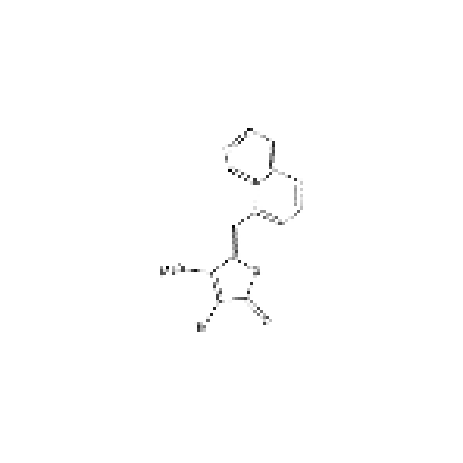 COC1=C(Br)C(=O)OC1=Cc1cccc2ccccc12